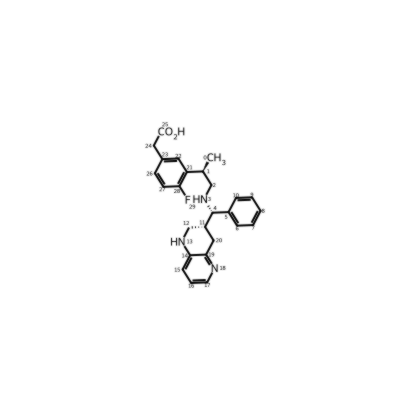 C[C@@H](CN[C@H](c1ccccc1)[C@H]1CNc2cccnc2C1)c1cc(CC(=O)O)ccc1F